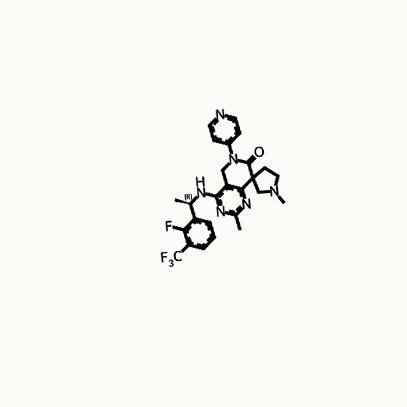 Cc1nc(N[C@H](C)c2cccc(C(F)(F)F)c2F)c2c(n1)C1(CCN(C)C1)C(=O)N(c1ccncc1)C2